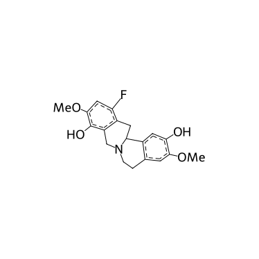 COc1cc2c(cc1O)C1Cc3c(F)cc(OC)c(O)c3CN1CC2